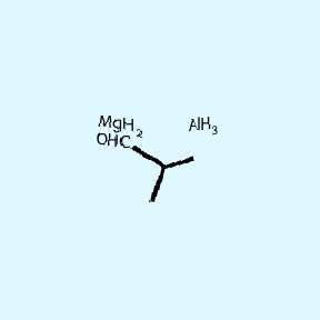 CC(C)C=O.[AlH3].[MgH2]